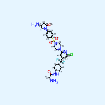 CC(N)C(=O)N[C@H]1CC[C@H](C(F)(F)c2cc(Cl)nc(N3CCN(S(=O)(=O)c4ccc(N5C[C@H](N)CC5=O)cc4)CC3)c2)CC1